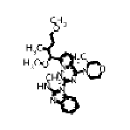 CNc1nc2ccccc2n1-c1nc(N2CCOC[C@H]2C)c2ccc(C(OC)C(C)CCOC)n2n1